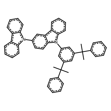 CC(C)(c1ccccc1)c1cc(-n2c3ccccc3c3cc(-n4c5ccccc5c5ccccc54)ccc32)cc(C(C)(C)c2ccccc2)c1